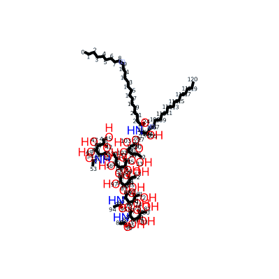 CCCCCCCC/C=C\CCCCCCCCCCCCCC(=O)N[C@@H](CO[C@@H]1OC(CO)[C@@H](O[C@@H]2OC(CO[C@@H]3OC(CO)[C@@H](O)[C@H](O)C3NC(C)=O)[C@H](O)[C@H](O[C@H]3OC(CO)[C@H](O)[C@H](O[C@@H]4OC(CO)[C@H](O)[C@H](O[C@H]5OC(CO)[C@H](O)[C@H](O)C5NC(C)=O)C4NC(C)=O)C3O)C2O)[C@H](O)C1O)[C@H](O)/C=C/CCCCCCCCCCCCC